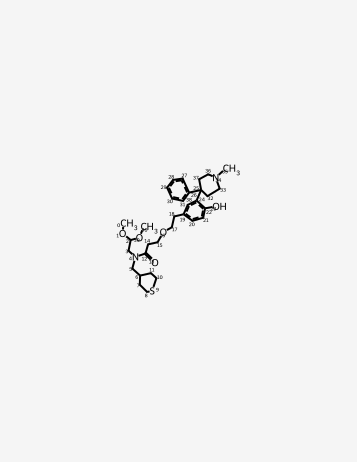 COC(CN(CC1CCSCC1)C(=O)CCOCCc1ccc(O)c(C2(c3ccccc3)CCN(C)CC2)c1)OC